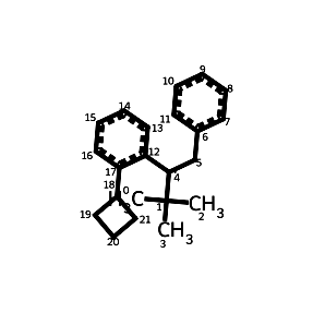 CC(C)(C)[C](Cc1ccccc1)c1ccccc1C1CCC1